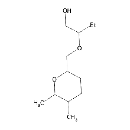 CCC(CO)OCC1CCC(C)C(C)O1